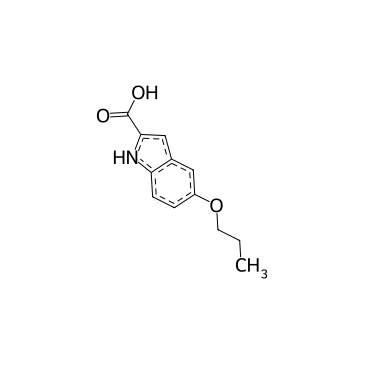 CCCOc1ccc2[nH]c(C(=O)O)cc2c1